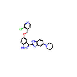 Clc1cnccc1COc1ccc2[nH]nc(-c3nc4cc(N5CCCCC5)ccc4[nH]3)c2c1